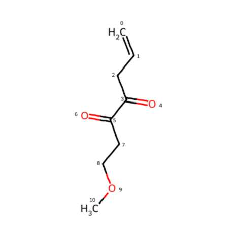 C=CCC(=O)C(=O)CCOC